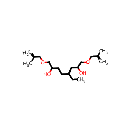 C=C(C)COCC(O)CCC(CC)CC(O)COCC(=C)C